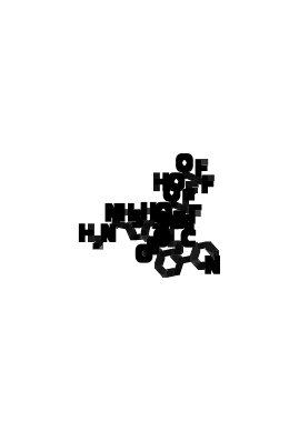 CSc1sc(C(=N)N)cc1S(=O)(=O)c1cccc(-c2cnccc2C)c1.O=C(O)C(F)(F)F.O=C(O)C(F)(F)F